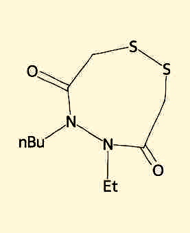 CCCCN1C(=O)CSSCC(=O)N1CC